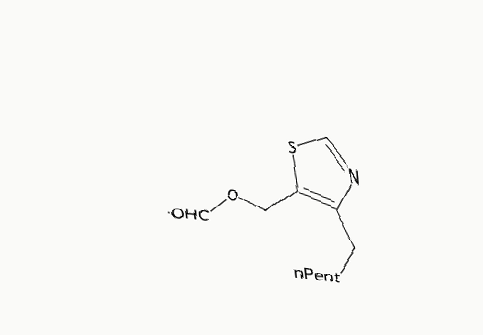 CCCCCCc1ncsc1CO[C]=O